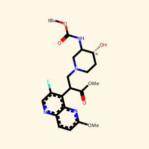 COC(=O)C(CN1CC[C@@H](O)C(NC(=O)OC(C)(C)C)C1)c1c(F)cnc2ccc(OC)nc12